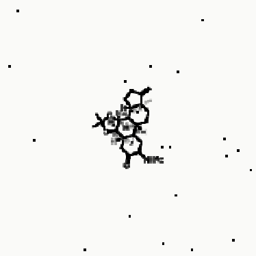 C=C1CC[C@H]2[C@@H]3[C@H]4OC(C)(C)O[C@@H]4[C@H]4CC(=O)C(NC(C)=O)C[C@]4(C)[C@H]3CC[C@]12C